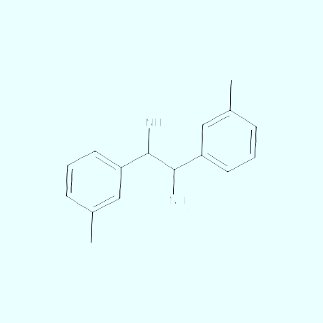 Cc1cccc(C(N)C(N)c2cccc(C)c2)c1